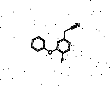 N#CCc1ccc(F)c(Oc2ccccc2)c1